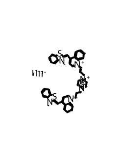 CN1C(=Cc2cc[n+](CCC[N+]34CC[N+](CCC[n+]5ccc(C=C6Sc7ccccc7N6C)c6ccccc65)(CC3)CC4)c3ccccc23)Sc2ccccc21.[I-].[I-].[I-].[I-]